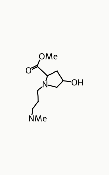 CNCCCN1CC(O)CC1C(=O)OC